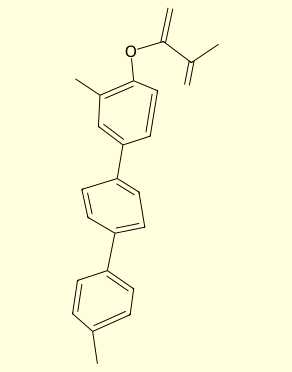 C=C(C)C(=C)Oc1ccc(-c2ccc(-c3ccc(C)cc3)cc2)cc1C